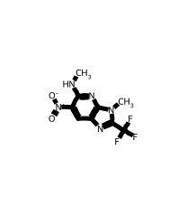 CNc1nc2c(cc1[N+](=O)[O-])nc(C(F)(F)F)n2C